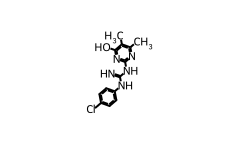 Cc1nc(NC(=N)Nc2ccc(Cl)cc2)nc(O)c1C